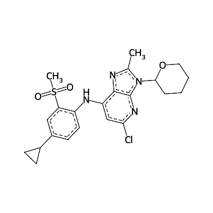 Cc1nc2c(Nc3ccc(C4CC4)cc3S(C)(=O)=O)cc(Cl)nc2n1C1CCCCO1